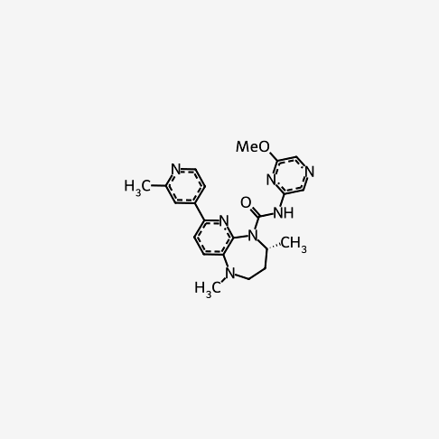 COc1cncc(NC(=O)N2c3nc(-c4ccnc(C)c4)ccc3N(C)CC[C@H]2C)n1